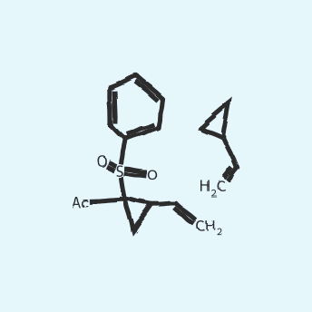 C=CC1CC1.C=CC1CC1(C(C)=O)S(=O)(=O)c1ccccc1